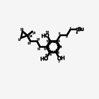 CC(C)(C)CCCc1cc(O)c(O)c(CCCC2(C)CC2)c1O